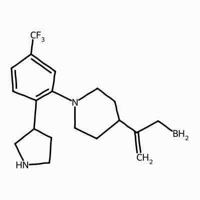 BCC(=C)C1CCN(c2cc(C(F)(F)F)ccc2C2CCNC2)CC1